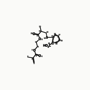 C=C(C)C(=O)OCCOC(=O)C(C)CSc1ccccc1C(=O)O